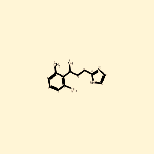 Cc1cccc(C)c1C(O)CCc1ncc[nH]1